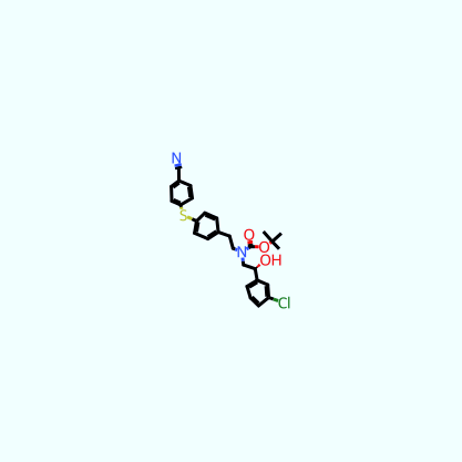 CC(C)(C)OC(=O)N(CCc1ccc(Sc2ccc(C#N)cc2)cc1)C[C@@H](O)c1cccc(Cl)c1